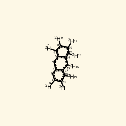 [2H]c1cc2cc3c([2H])c([2H])c([2H])c([2H])c3c([2H])c2c([2H])c1[2H]